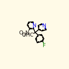 O=CC(c1ccncc1)(c1ccc(F)cc1)c1ncccc1[N+](=O)[O-]